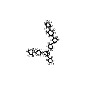 c1ccc(-c2ccc(-c3nc(-c4ccccc4)nc(-c4ccc(-c5cccc(-c6ccc(-c7cccnc7)nc6)c5)cc4)n3)cc2)cc1